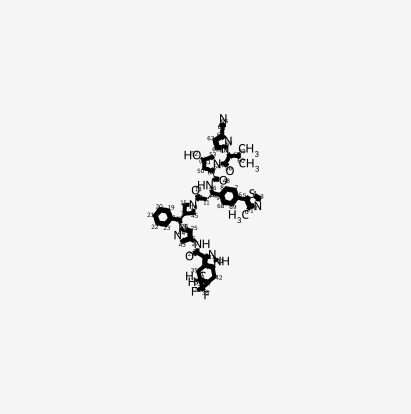 Cc1ncsc1-c1ccc([C@H](CC(=O)N2CC([C@H](c3ccccc3)n3cc(NC(=O)c4n[nH]c5c4C[C@H]4C(F)(F)[C@@]4(C)C5)cn3)C2)NC(=O)[C@@H]2C[C@@H](O)CN2C(=O)C(C(C)C)n2ccc(C#N)n2)cc1